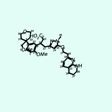 COCC1(c2ccc(OC)c(C(CC(=O)O)Cc3cc(OCCc4ccc5c(n4)NCCC5)n(C)n3)c2)CCOCC1